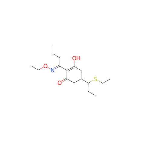 CCCC(=NOCC)C1=C(O)CC(C(CC)SCC)CC1=O